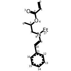 C=CC(=O)OC(C)CN(C=Cc1ccccc1)CC